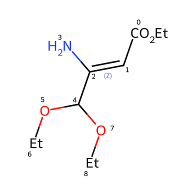 CCOC(=O)/C=C(\N)C(OCC)OCC